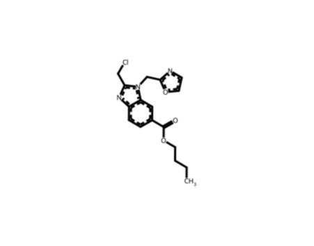 CCCCOC(=O)c1ccc2nc(CCl)n(Cc3ncco3)c2c1